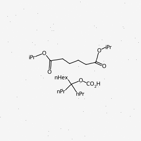 CC(C)OC(=O)CCCCC(=O)OC(C)C.CCCCCCC(CCC)(CCC)OC(=O)O